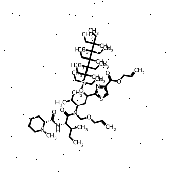 C=CCOCN(C(=O)[C@@H](NC(=O)[C@H]1CCCCN1C)[C@@H](C)CC)[C@H](C[C@@H](O[Si](CC)(CC)C(C)(CC)C(C)(CC)C(C)(CC)C(C)(CC)C(C)(CC)CC)c1nc(C(=O)OCC=C)cs1)C(C)C